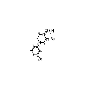 CC(C)(C)C1CN(c2cccc(Br)c2)CCN1C(=O)O